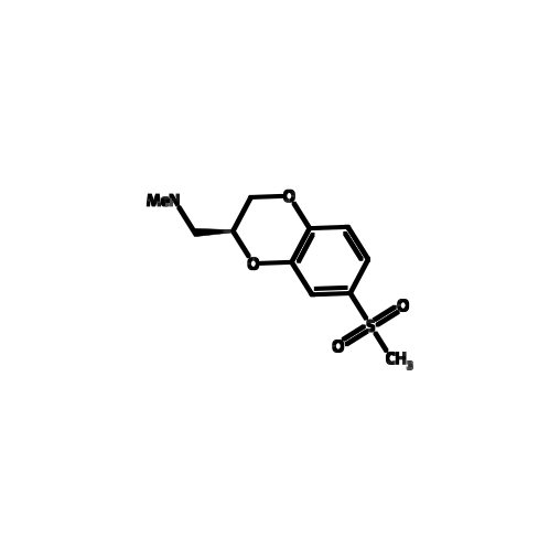 CNC[C@H]1COc2ccc(S(C)(=O)=O)cc2O1